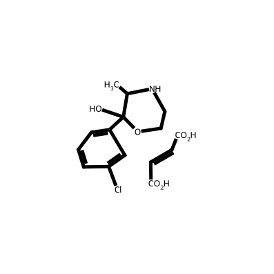 CC1NCCOC1(O)c1cccc(Cl)c1.O=C(O)C=CC(=O)O